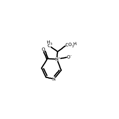 CC(C(=O)O)[N+]1([O-])C=NC=CC1=O